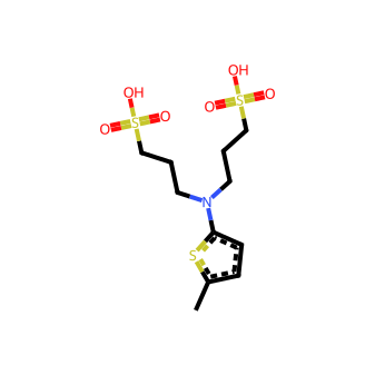 Cc1ccc(N(CCCS(=O)(=O)O)CCCS(=O)(=O)O)s1